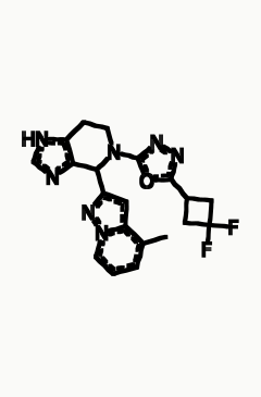 Cc1cccn2nc(C3c4nc[nH]c4CCN3c3nnc(C4CC(F)(F)C4)o3)cc12